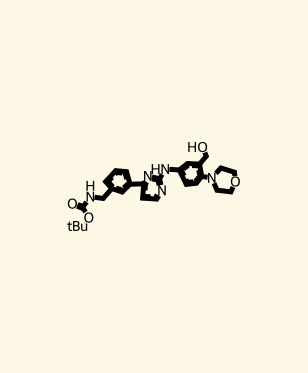 CC(C)(C)OC(=O)NCc1cccc(-c2ccnc(Nc3ccc(N4CCOCC4)c(CO)c3)n2)c1